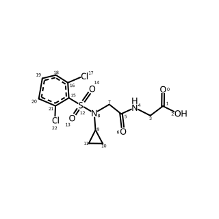 O=C(O)CNC(=O)CN(C1CC1)S(=O)(=O)c1c(Cl)cccc1Cl